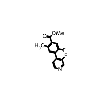 COC(=O)c1cc(F)c(-c2ccncc2F)cc1C